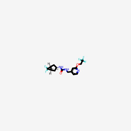 O=C(NCc1ccnc(OCC(F)(F)F)c1)N[C@@H]1C[C@@H]2[C@H](C1)C2(F)F